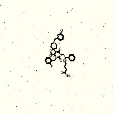 NC(=O)CCCN[C@@H](Cn1c(=O)c2c(n(Cc3c(F)cccc3C(F)(F)F)c1=O)COC21CCN(Cc2cccc(Cl)c2)CC1)c1ccccc1